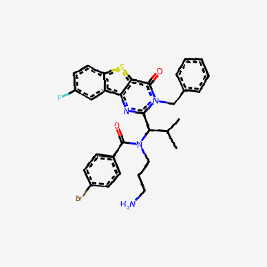 CC(C)C(c1nc2c(sc3ccc(F)cc32)c(=O)n1Cc1ccccc1)N(CCCN)C(=O)c1ccc(Br)cc1